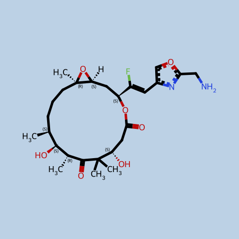 C[C@H]1CCC[C@@]2(C)O[C@H]2C[C@@H](C(F)=Cc2coc(CN)n2)OC(=O)C[C@H](O)C(C)(C)C(=O)[C@H](C)[C@H]1O